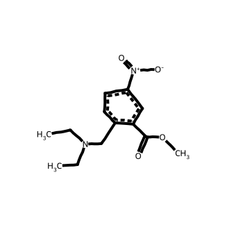 CCN(CC)Cc1ccc([N+](=O)[O-])cc1C(=O)OC